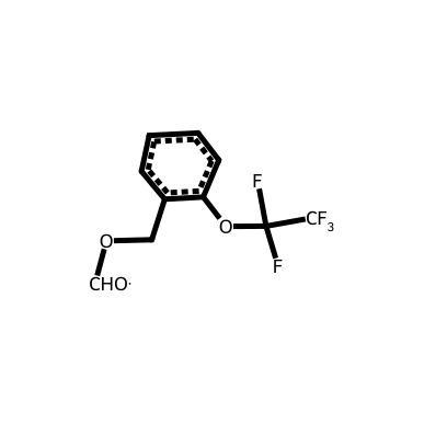 O=[C]OCc1ccccc1OC(F)(F)C(F)(F)F